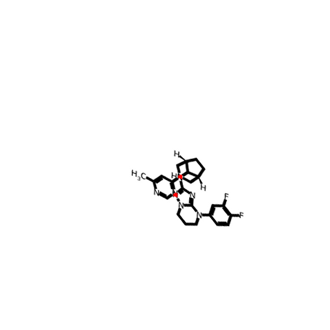 Cc1cc(N2C[C@H]3CC[C@@H](C2)C3Nc2nc3n(n2)CCCN3c2ccc(F)c(F)c2)ncn1